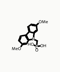 COc1ccc2c3ccc(OC)cc3n(CP(=O)(O)O)c2c1